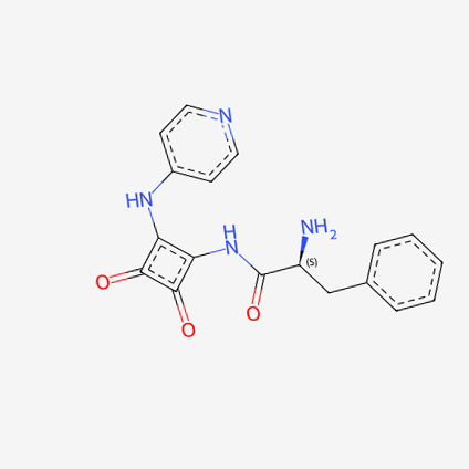 N[C@@H](Cc1ccccc1)C(=O)Nc1c(Nc2ccncc2)c(=O)c1=O